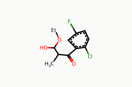 CCOC(O)C(C)C(=O)c1cc(F)ccc1Cl